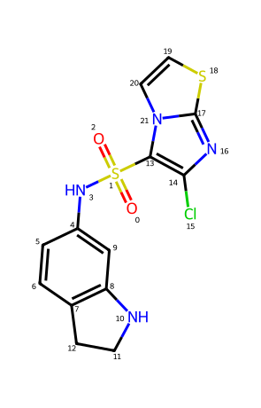 O=S(=O)(Nc1ccc2c(c1)NCC2)c1c(Cl)nc2sccn12